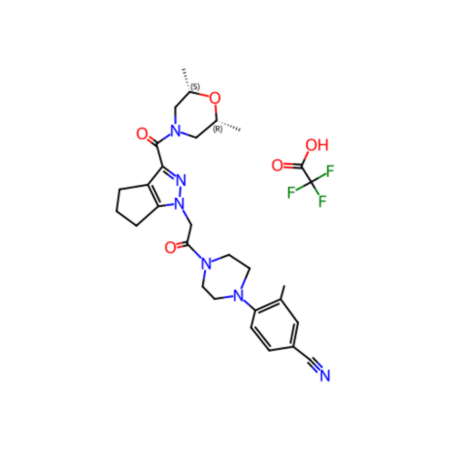 Cc1cc(C#N)ccc1N1CCN(C(=O)Cn2nc(C(=O)N3C[C@@H](C)O[C@@H](C)C3)c3c2CCC3)CC1.O=C(O)C(F)(F)F